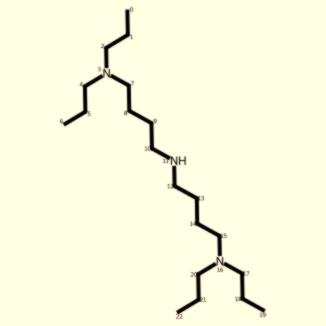 CCCN(CCC)CCCCNCCCCN(CCC)CCC